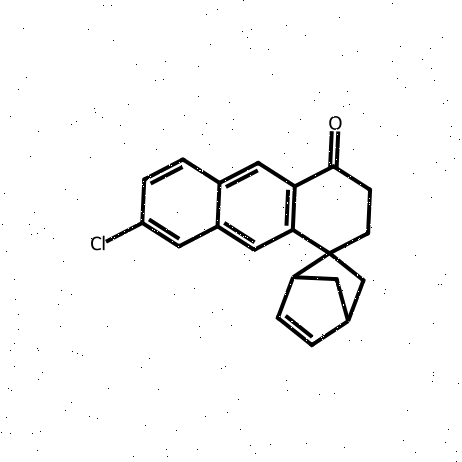 O=C1CCC2(CC3C=CC2C3)c2cc3cc(Cl)ccc3cc21